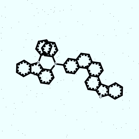 c1ccc(N(c2ccc3c(ccc4ccc5c(ccc6oc7ccccc7c65)c43)c2)c2cccc3c4ccccc4n(-c4ccccc4)c23)cc1